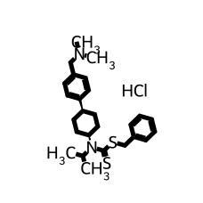 CC(C)N(C(=S)SCc1ccccc1)[C@H]1CC[C@H](c2ccc(CN(C)C)cc2)CC1.Cl